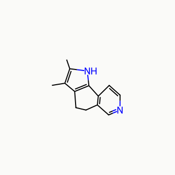 Cc1[nH]c2c(c1C)CCc1cnccc1-2